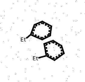 CCc1ccccc1.CCc1ccccc1